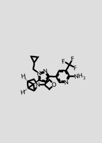 Nc1ncc(-c2cc([C@@]34C5[C@H]3[C@H]4CN5C3COC3)n(CC3CC3)n2)cc1C(F)(F)F